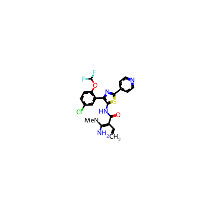 C=C/C(C(=O)Nc1sc(-c2ccncc2)nc1-c1cc(Cl)ccc1OC(F)F)=C(\N)NC